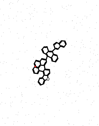 c1ccc(-c2c(-c3cc(-c4c5ccccc5c(-c5ccc6ccccc6c5)c5ccccc45)cc4ccccc34)ccc3oc4ccccc4c23)cc1